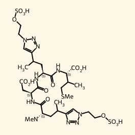 CN[C@@H](CC(C)c1cn(CCOS(=O)(=O)O)nn1)C(=O)N[C@@H](CC(=O)O)C(=O)N[C@@H](CC(C)c1cn(CCOS(=O)(=O)O)nn1)C(=O)N[C@H](C(=O)O)C(C)CSC